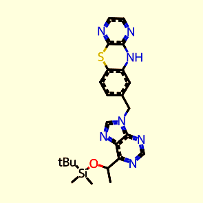 CC(O[Si](C)(C)C(C)(C)C)c1ncnc2c1ncn2Cc1ccc2c(c1)Nc1nccnc1S2